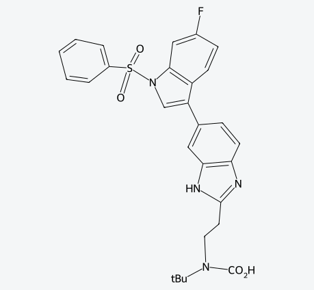 CC(C)(C)N(CCc1nc2ccc(-c3cn(S(=O)(=O)c4ccccc4)c4cc(F)ccc34)cc2[nH]1)C(=O)O